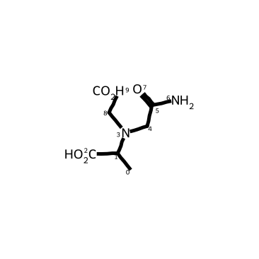 CC(C(=O)O)N(CC(N)=O)CC(=O)O